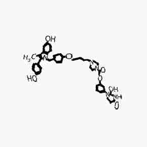 Cc1c(-c2ccc(O)cc2)n(Cc2ccc(OCCCCN3CCN(C(=O)COc4cccc(N5CCC(=O)NC5O)c4)CC3)cc2)c2ccc(O)cc12